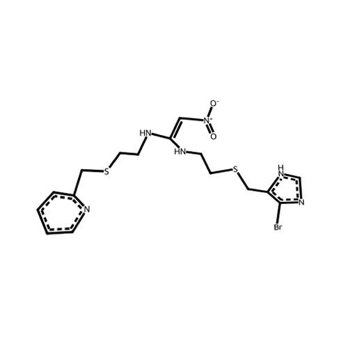 O=[N+]([O-])C=C(NCCSCc1ccccn1)NCCSCc1[nH]cnc1Br